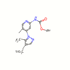 CCOC(=O)c1cnn(-c2cc(NC(=O)OC(C)(C)C)ncc2C)c1C(F)(F)F